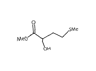 COC(=O)C(O)CCSC